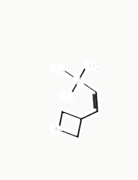 [CH3][Sn]([CH3])([CH3])/[CH]=C\C1CNC1